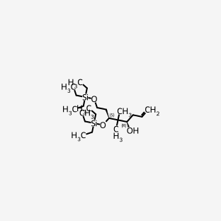 C=CC[C@@H](O)C(C)(C)[C@H](CCO[Si](CC)(CC)CC)O[Si](CC)(CC)CC